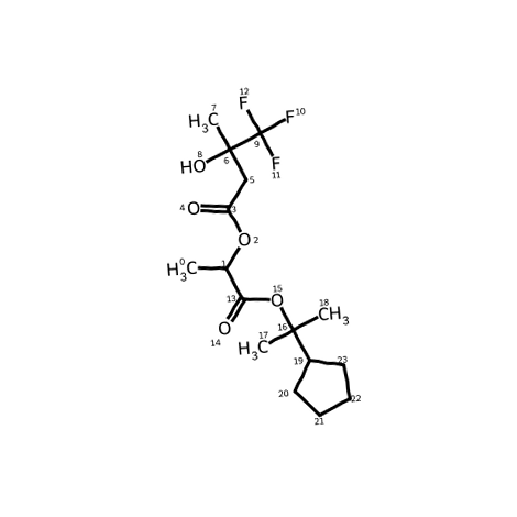 CC(OC(=O)CC(C)(O)C(F)(F)F)C(=O)OC(C)(C)C1CCCC1